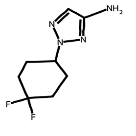 Nc1cnn(C2CCC(F)(F)CC2)n1